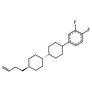 C=CCC[C@H]1CC[C@H](C2CCC(c3ccc(F)c(F)c3)CC2)CC1